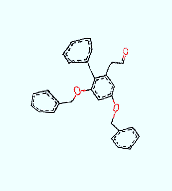 O=CCc1cc(OCc2ccccc2)cc(OCc2ccccc2)c1-c1ccccc1